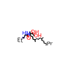 CC/C=C/CC(=O)NC(C)(CCCC(C)CCCC(C)CCCC(C)C)C(O)CO